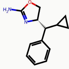 NC1=N[C@@H](C(c2ccccc2)C2CC2)CO1